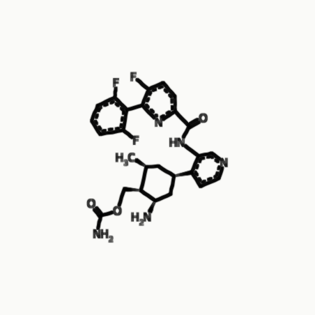 C[C@H]1C[C@@H](c2ccncc2NC(=O)c2ccc(F)c(-c3c(F)cccc3F)n2)C[C@@H](N)[C@H]1COC(N)=O